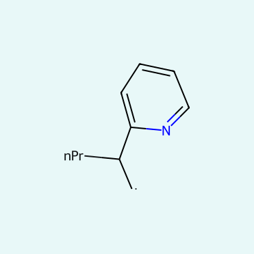 [CH2]C(CCC)c1ccccn1